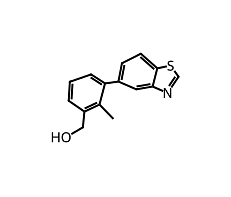 Cc1c(CO)cccc1-c1ccc2scnc2c1